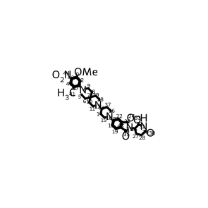 COc1cc(N2CCC3(CC2)CCN(C2CCN(c4ccc5c(c4)C(=O)N(C4CCC(=O)NC4=O)C5=O)CC2)CC3)c(C)cc1[N+](=O)[O-]